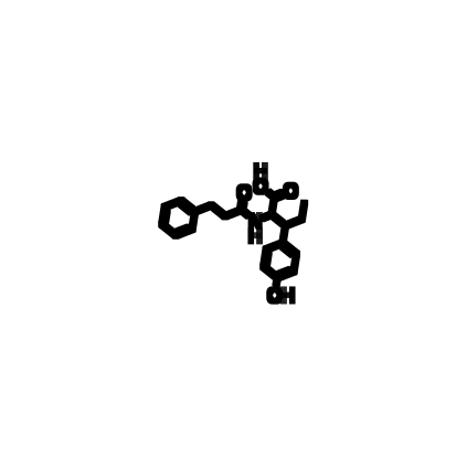 CCC(c1ccc(O)cc1)C(NC(=O)CCc1ccccc1)C(=O)O